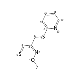 CON=C([C]=S)CSc1ccccn1